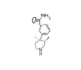 C[C@H]1CNCC[C@@]1(C)c1cccc(C(N)=O)c1